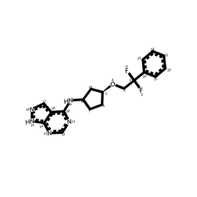 FC(F)(CO[C@H]1CCC(Nc2ncnc3[nH]ncc23)C1)c1ccccc1